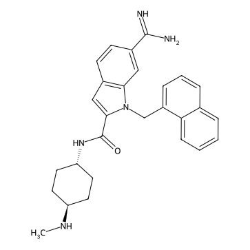 CN[C@H]1CC[C@H](NC(=O)c2cc3ccc(C(=N)N)cc3n2Cc2cccc3ccccc23)CC1